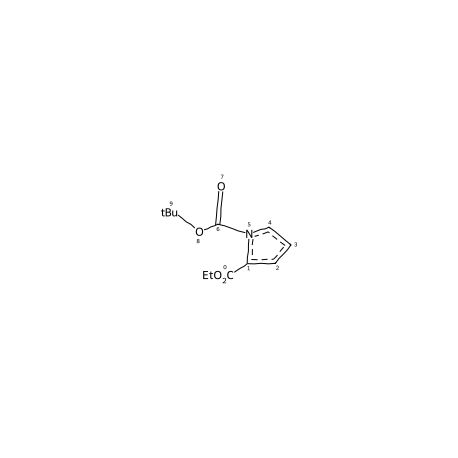 CCOC(=O)c1cccn1C(=O)OC(C)(C)C